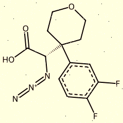 [N-]=[N+]=N[C@H](C(=O)O)C1(c2ccc(F)c(F)c2)CCOCC1